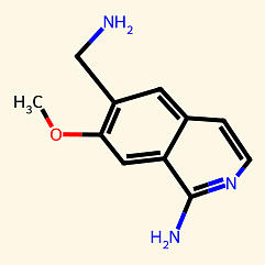 COc1cc2c(N)nccc2cc1CN